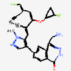 C#CC(=C\F)/C=C(O[C@H]1C[C@H]1F)\C(C#N)=C\c1c(-c2ccc3c(=O)[nH]nc(CN)c3c2)cnn1C